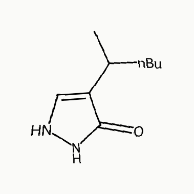 CCCCC(C)c1c[nH][nH]c1=O